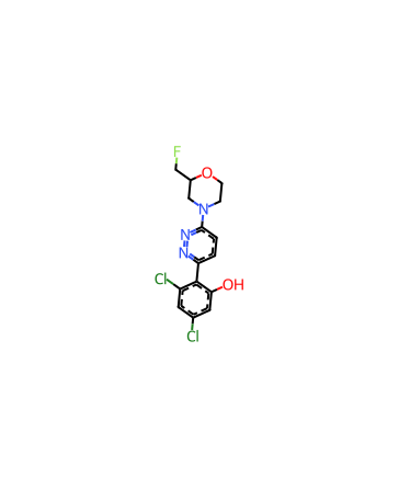 Oc1cc(Cl)cc(Cl)c1-c1ccc(N2CCOC(CF)C2)nn1